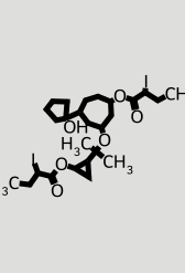 CCC(I)C(=O)OC1CCC(C2(O)CCCC2)CC(OC(C)(C)C2CC2OC(=O)C(I)CC)C1